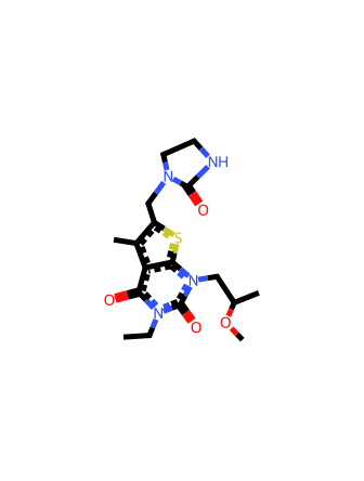 CCn1c(=O)c2c(C)c(CN3CCNC3=O)sc2n(CC(C)OC)c1=O